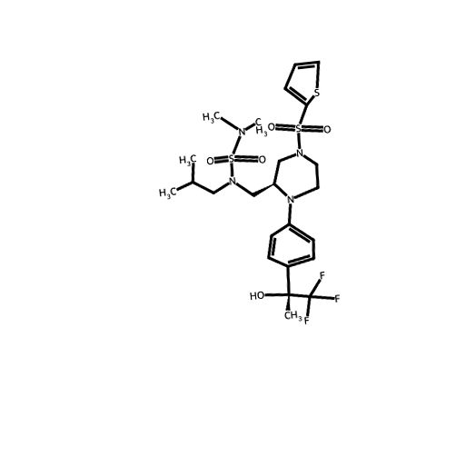 CC(C)CN(C[C@H]1CN(S(=O)(=O)c2cccs2)CCN1c1ccc([C@@](C)(O)C(F)(F)F)cc1)S(=O)(=O)N(C)C